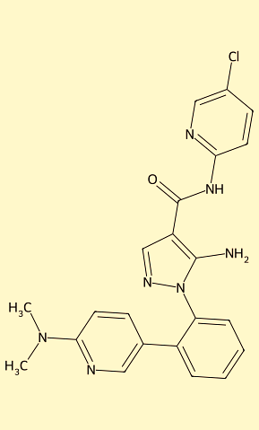 CN(C)c1ccc(-c2ccccc2-n2ncc(C(=O)Nc3ccc(Cl)cn3)c2N)cn1